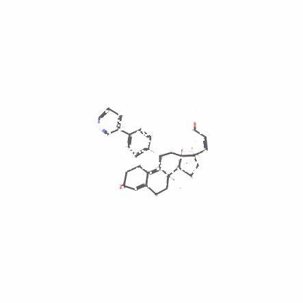 C[C@]12C[C@H](c3ccc(-c4cccnc4)cc3)C3=C4CCC(=O)C=C4CC[C@H]3[C@@H]1CC[C@@]2(O)/C=C\CO